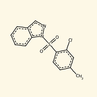 Cc1ccc(S(=O)(=O)n2ncc3ccccc32)c(Cl)c1